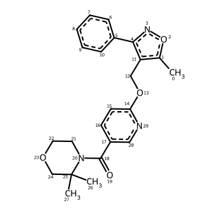 Cc1onc(-c2ccccc2)c1COc1ccc(C(=O)N2CCOCC2(C)C)cn1